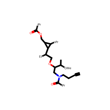 C#CCCN(CC(OCC(CC)C1C(CCC)C1COC(=O)C(C)C)C(C)OC)C(=O)C(C)C